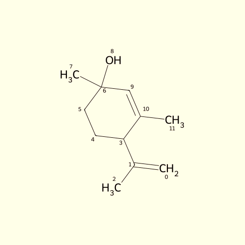 C=C(C)C1CCC(C)(O)C=C1C